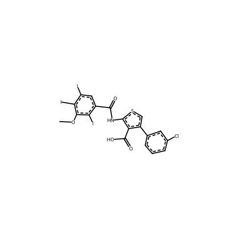 COc1c(I)c(I)cc(C(=O)Nc2scc(-c3cccc(Cl)c3)c2C(=O)O)c1I